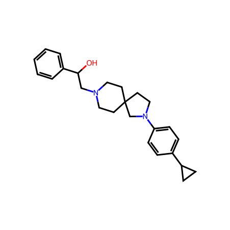 OC(CN1CCC2(CC1)CCN(c1ccc(C3CC3)cc1)C2)c1ccccc1